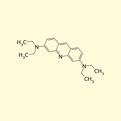 CCN(CC)c1ccc2cc3ccc(N(CC)CC)cc3nc2c1